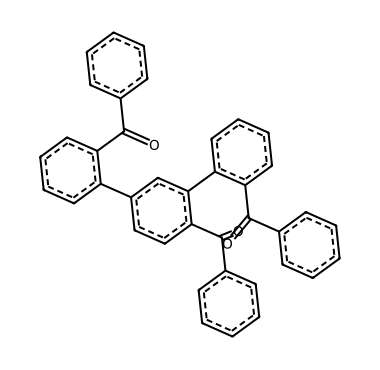 O=C(c1ccccc1)c1ccccc1-c1ccc(C(=O)c2ccccc2)c(-c2ccccc2C(=O)c2ccccc2)c1